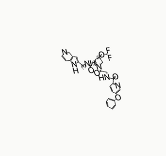 C[C@@H](NC(=O)[C@@H]1C[C@@H](OC(F)F)CN1C(=O)CNC(=O)c1ccc(Oc2ccccc2)cn1)c1cc2cnccc2[nH]1